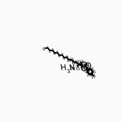 CCCCCCCCCCCCCCC(C)C(C)(C)OS(=O)(=O)c1ccc(C)cc1.N